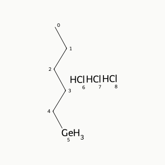 CCCC[CH2][GeH3].Cl.Cl.Cl